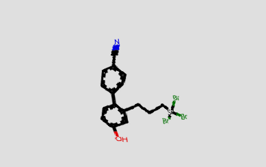 N#Cc1ccc(-c2ccc(O)cc2CCC[Si](Br)(Br)Br)cc1